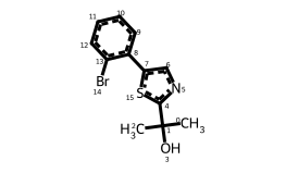 CC(C)(O)c1ncc(-c2ccccc2Br)s1